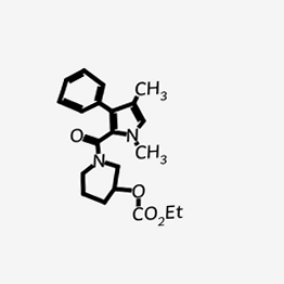 CCOC(=O)OC1CCCN(C(=O)c2c(-c3ccccc3)c(C)cn2C)C1